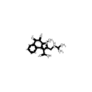 CC(C)NCc1c(C(=O)O)c2c(n1C)C(=O)C(=O)c1ccccc1-2